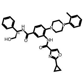 Cc1ccccc1N1CCN(c2ccc(C(=O)N[C@@H](CO)c3ccccc3)cc2NC(=O)c2coc(C3CC3)n2)CC1